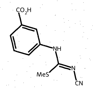 CS/C(=N\C#N)Nc1cccc(C(=O)O)c1